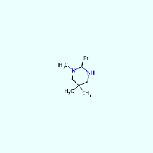 CC(C)C1NCC(C)(C)CN1C